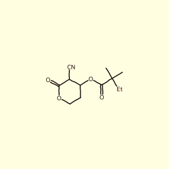 CCC(C)(C)C(=O)OC1CCOC(=O)C1C#N